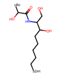 CCCCCCCCCCCCCCCC(O)C(CO)NC(=O)C(O)CCCC